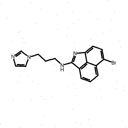 Brc1ccc2c3c(cccc13)C(NCCCn1ccnc1)=N2